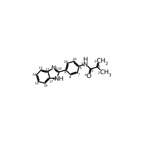 C=C(C)C(=O)Nc1ccc(-c2nc3ccccc3[nH]2)cc1